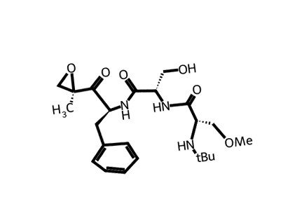 COC[C@H](NC(C)(C)C)C(=O)N[C@@H](CO)C(=O)N[C@@H](Cc1ccccc1)C(=O)[C@@]1(C)CO1